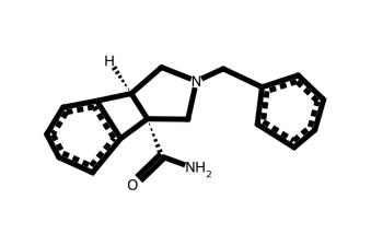 NC(=O)[C@@]12CN(Cc3ccccc3)C[C@@H]1c1ccccc12